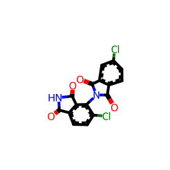 O=C1NC(=O)c2c1ccc(Cl)c2N1C(=O)c2ccc(Cl)cc2C1=O